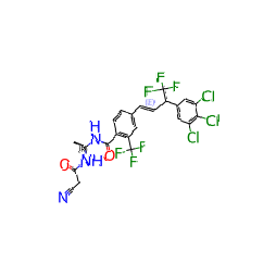 C[C@H](NC(=O)CC#N)NC(=O)c1ccc(/C=C/C(c2cc(Cl)c(Cl)c(Cl)c2)C(F)(F)F)cc1C(F)(F)F